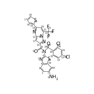 Nc1ccc2nc(N(C(=O)c3cc4nc(-c5cccs5)cc(C(F)(F)F)n4n3)C(=O)c3ccc(Cl)cc3Cl)sc2c1